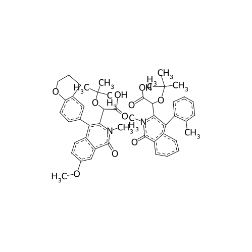 COc1ccc2c(-c3ccc4c(c3)CCCO4)c(C(OC(C)(C)C)C(=O)O)n(C)c(=O)c2c1.Cc1ccccc1-c1c(C(OC(C)(C)C)C(=O)O)n(C)c(=O)c2ccccc12